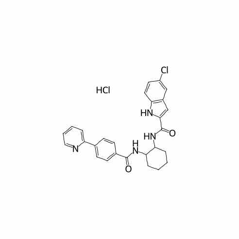 Cl.O=C(NC1CCCCC1NC(=O)c1cc2cc(Cl)ccc2[nH]1)c1ccc(-c2ccccn2)cc1